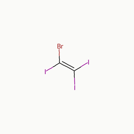 BrC(I)=C(I)I